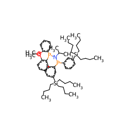 CCCC[Si](CCCC)(CCCC)c1cccc(P(c2cccc([Si](CCCC)(CCCC)CCCC)c2)N(C(C)C)P(c2ccccc2OC)c2ccccc2OC)c1